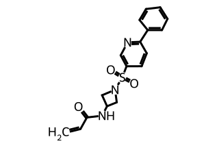 C=CC(=O)NC1CN(S(=O)(=O)c2ccc(-c3ccccc3)nc2)C1